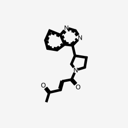 CC(=O)C=CC(=O)N1CCC(c2ncnc3ccccc23)C1